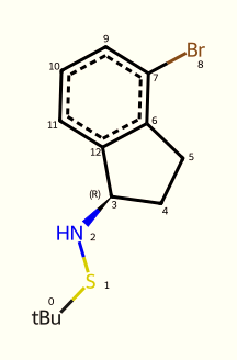 CC(C)(C)SN[C@@H]1CCc2c(Br)cccc21